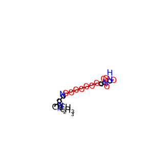 C=Cc1c(/C=C\C)n(C)c2cc(-c3ccc(OCCOCCOCCOCCOCCOCCOc4ccc5c(c4)C(=O)N(C4CCC(=O)NC4=O)C5=O)nc3)ccc12